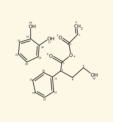 C=CC(=O)OC(=O)C(CCO)c1ccccc1.Oc1ccccc1O